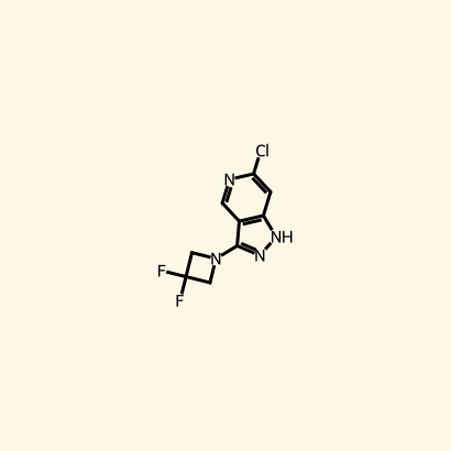 FC1(F)CN(c2n[nH]c3cc(Cl)ncc23)C1